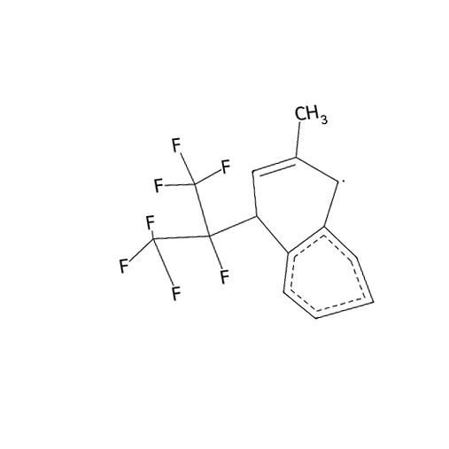 CC1=CC(C(F)(C(F)(F)F)C(F)(F)F)c2ccccc2[CH]1